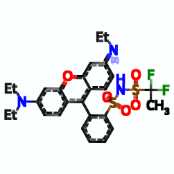 CC/N=c1/ccc2c(-c3ccccc3S(=O)(=O)NS(=O)(=O)C(C)(F)F)c3ccc(N(CC)CC)cc3oc-2c1